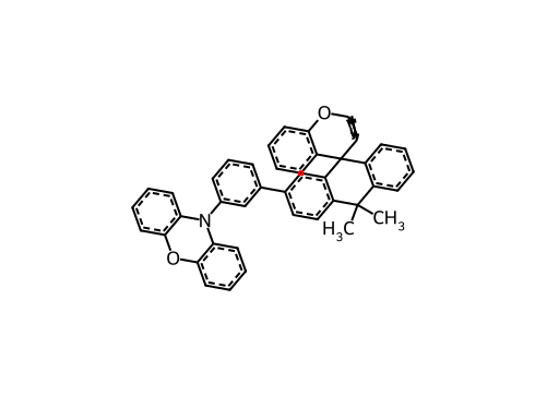 CC1(C)c2ccccc2C2(c3ccccc3Oc3ccccc32)c2cc(-c3cccc(N4c5ccccc5Oc5ccccc54)c3)ccc21